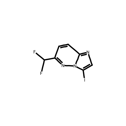 FC(F)c1ccc2ncc(I)n2n1